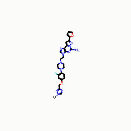 Cn1cnc(COc2ccc(N3CCN(CCn4cnc5c4nc(N)n4nc(-c6ccco6)cc54)CC3)c(F)c2)n1